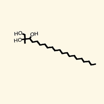 CCCCCCCCCCCCCCCCCCC(O)C(C)(O)CO